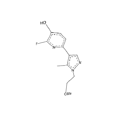 COCCn1ncc(-c2ccc(O)c(F)n2)c1C